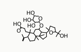 C=C(C)C1CCC2(C)C(CC(O[C@@H]3OC[C@H](O)[C@H](O)[C@H]3O)C3C(C4(C)CCC(C(C)(C)O)O4)CCC32C)C1(C)CCC(=O)O